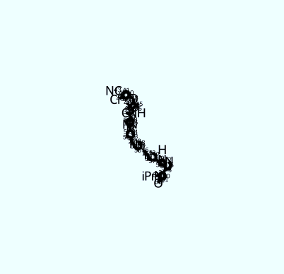 CC(C)n1cc(-c2ccnc3[nH]c(C4CCN(CCN5CCN(CC6CCN(c7ncc(C(=O)NC8C(C)(C)C(Oc9ccc(C#N)c(Cl)c9)C8(C)C)cn7)CC6)CC5)CC4)cc23)ccc1=O